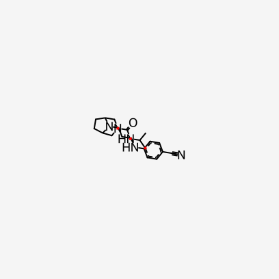 CC(C)NC(=O)N1CC2CCC(C1)N2CCCNc1ccc(C#N)cc1